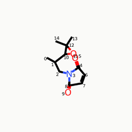 CC(CN1C(=O)C=CC1=O)C1OC1(C)C